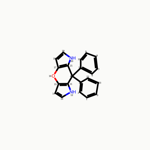 c1ccc(C2(c3ccccc3)c3[nH]ccc3Oc3cc[nH]c32)cc1